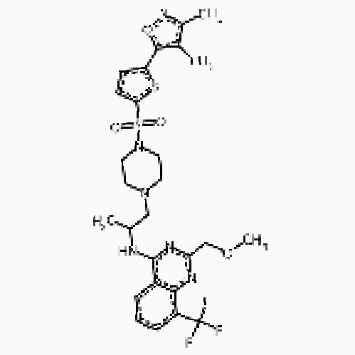 COCc1nc(NC(C)CN2CCN(S(=O)(=O)c3ccc(-c4onc(C)c4C)s3)CC2)c2cccc(C(F)(F)F)c2n1